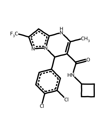 CC1=C(C(=O)NC2CCC2)C(c2ccc(Cl)c(Cl)c2)n2nc(C(F)(F)F)cc2N1